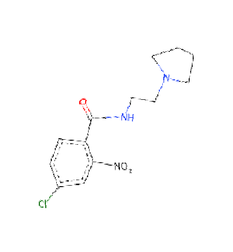 O=C(NCCN1CCCC1)c1ccc(Cl)cc1[N+](=O)[O-]